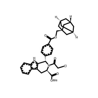 COC(=O)[C@H]1Cc2c([nH]c3ccccc23)[C@H](c2ccc(C(=O)OC[C@]34C[C@H]5C[C@H](C[C@H](C5)C3)C4)cc2)N1C(=O)CCl